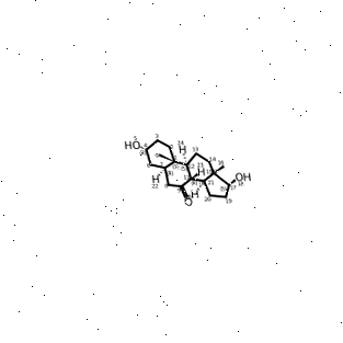 C[C@]12CC[C@@H](O)C[C@@H]1CC(=O)[C@@H]1[C@@H]2CC[C@]2(C)[C@@H](O)CC[C@@H]12